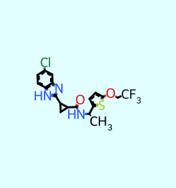 C[C@@H](NC(=O)C1CC1c1nc2cc(Cl)ccc2[nH]1)c1ccc(OCC(F)(F)F)s1